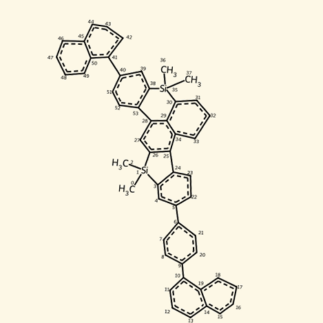 C[Si]1(C)c2cc(-c3ccc(-c4cccc5ccccc45)cc3)ccc2-c2c1cc1c3c(cccc23)[Si](C)(C)c2cc(-c3cccc4ccccc34)ccc2-1